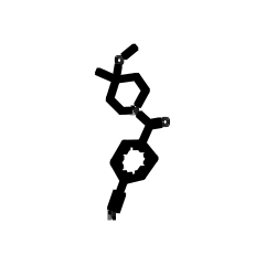 COC1(C)CCN(C(=O)c2ccc(C#N)cc2)CC1